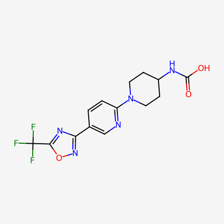 O=C(O)NC1CCN(c2ccc(-c3noc(C(F)(F)F)n3)cn2)CC1